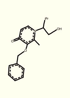 Cc1c(OCc2ccccc2)c(=O)ccn1C(CO)C(C)C